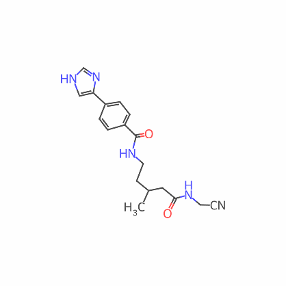 CC(CCNC(=O)c1ccc(-c2c[nH]cn2)cc1)CC(=O)NCC#N